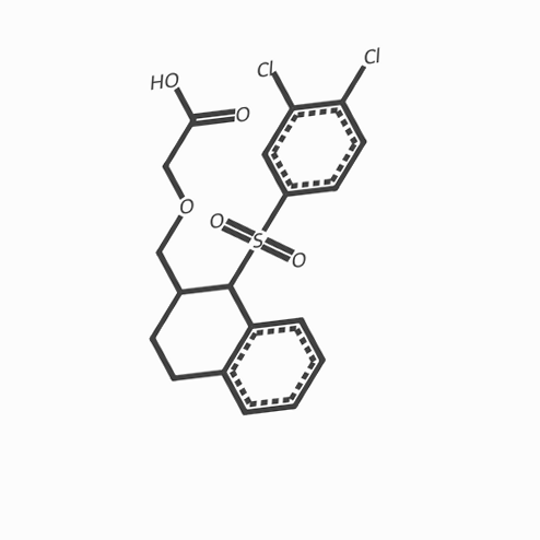 O=C(O)COCC1CCc2ccccc2C1S(=O)(=O)c1ccc(Cl)c(Cl)c1